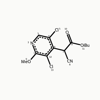 COc1ncc(Cl)c(C(C#N)C(=O)OCC(C)C)c1Cl